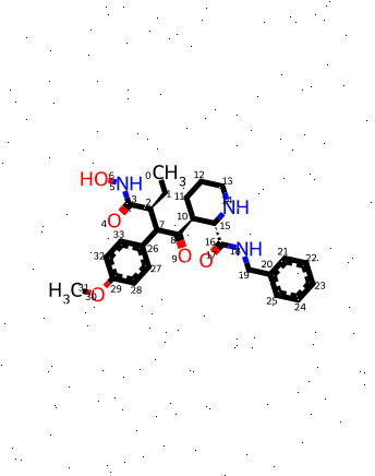 CC[C@H](C(=O)NO)C(C(=O)[C@H]1CCCN[C@@H]1C(=O)NCc1ccccc1)c1ccc(OC)cc1